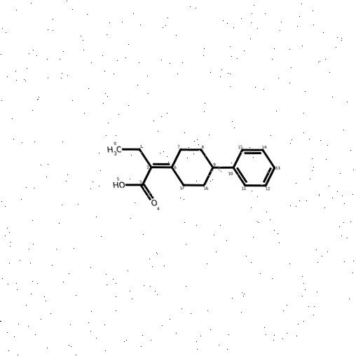 CCC(C(=O)O)=C1CCC(c2ccccc2)CC1